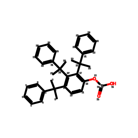 CC(C)(c1ccccc1)c1ccc([O][Ti](=[O])[OH])c(C(C)(C)c2ccccc2)c1C(C)(C)c1ccccc1